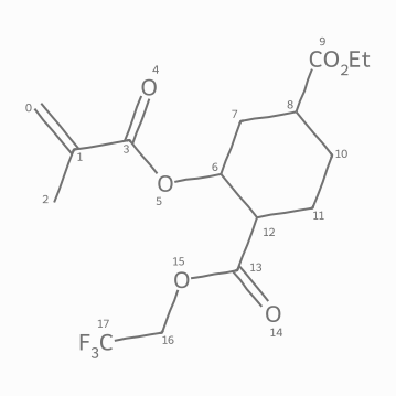 C=C(C)C(=O)OC1CC(C(=O)OCC)CCC1C(=O)OCC(F)(F)F